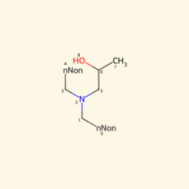 CCCCCCCCCCN(CCCCCCCCCC)CC(C)O